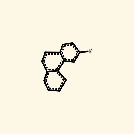 [K][c]1ccc2ccc3ccccc3c2c1